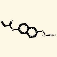 C=CC(=O)Oc1ccc2cc(O[SiH2]OC)ccc2c1